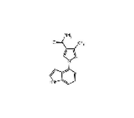 NC(=O)c1cn(-c2cccc3[nH]ccc23)nc1C(F)(F)F